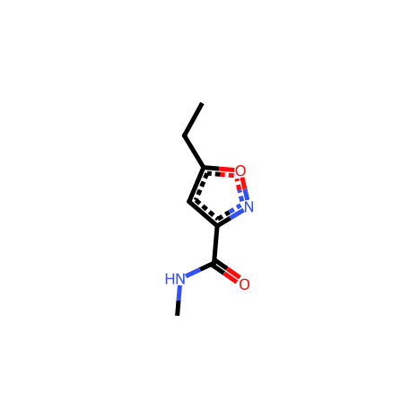 CCc1cc(C(=O)NC)no1